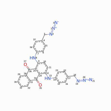 [N-]=[N+]=NCc1ccc(Nc2ccc(Nc3ccc(CN=[N+]=[N-])cc3)c3c2C(=O)c2ccccc2C3=O)cc1